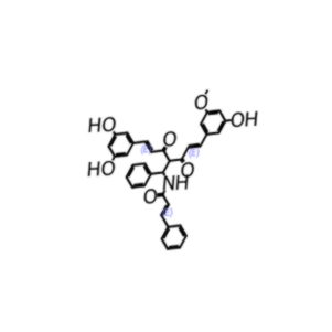 COc1cc(O)cc(/C=C/C(=O)C(C(=O)/C=C/c2cc(O)cc(O)c2)C(NC(=O)/C=C/c2ccccc2)c2ccccc2)c1